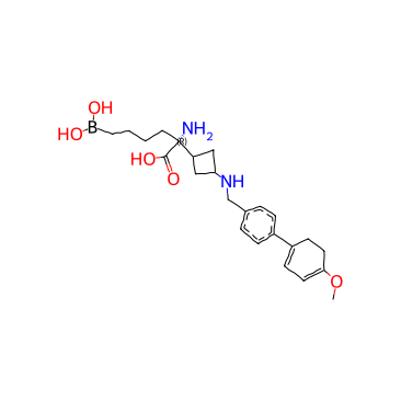 COC1=CC=C(c2ccc(CNC3CC([C@](N)(CCCCB(O)O)C(=O)O)C3)cc2)CC1